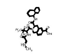 CNCC(=O)NC(C(=O)N1Cc2ccc(C(=O)O)cc2CC1C(=O)NC1CCCc2ccccc21)C(C)(C)C